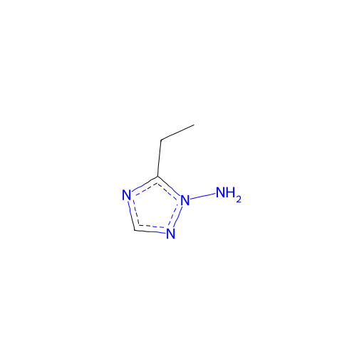 CCc1ncnn1N